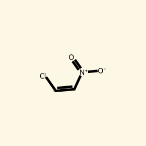 O=[N+]([O-])/C=[C]\Cl